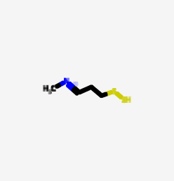 C/N=C/CCSS